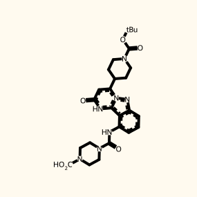 CC(C)(C)OC(=O)N1CCC(c2cc(=O)[nH]c3c4c(NC(=O)N5CCN(C(=O)O)CC5)cccc4nn23)CC1